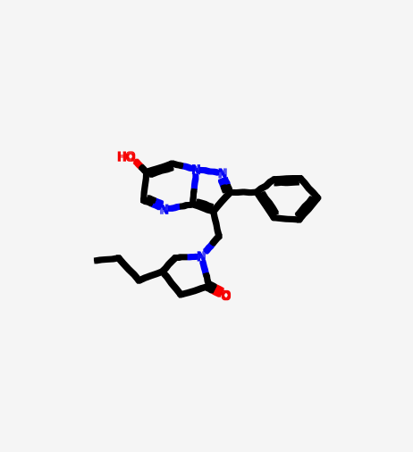 CCCC1CC(=O)N(Cc2c(-c3ccccc3)nn3cc(O)cnc23)C1